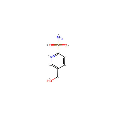 NS(=O)(=O)c1ccc(CO)cn1